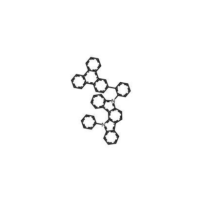 c1ccc(-n2c3ccccc3c3ccc4c(c5ccccc5n4-c4ccccc4-c4ccc5c6ccccc6c6ccccc6c5c4)c32)cc1